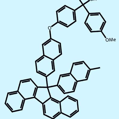 COc1ccc(C(C)(O)c2ccc(Oc3ccc4cc(C5(c6ccc7cc(C)ccc7c6)c6ccc7ccccc7c6-c6ccc7ccccc7c65)ccc4c3)cc2)cc1